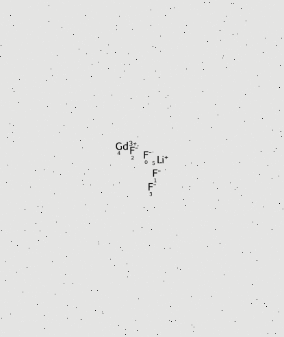 [F-].[F-].[F-].[F-].[Gd+3].[Li+]